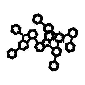 C1=CC2c3c(-c4cccc5c4c4ccccc4n5-c4cc(-c5ccccc5)ccc4-c4nc(-c5ccc(-c6ccccc6)cc5)nc(-c5ccccc5-c5ccccc5)n4)cccc3N(c3ccccc3)C2C=C1c1ccccc1